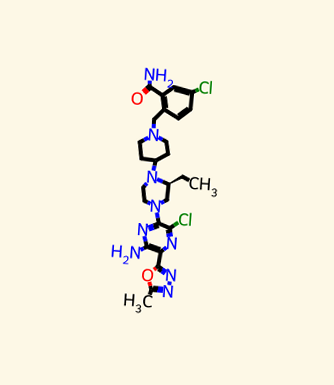 CC[C@H]1CN(c2nc(N)c(-c3nnc(C)o3)nc2Cl)CCN1C1CCN(Cc2ccc(Cl)cc2C(N)=O)CC1